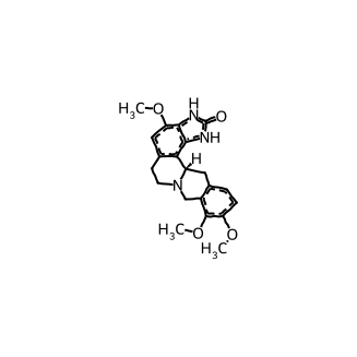 COc1ccc2c(c1OC)CN1CCc3cc(OC)c4[nH]c(=O)[nH]c4c3[C@@H]1C2